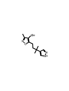 Cc1noc(CCC(C)(C)c2cn[nH]c2)c1C(C)(C)C